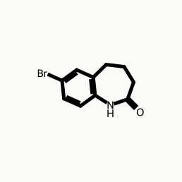 O=C1CCCc2cc(Br)ccc2N1